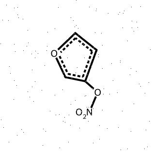 O=[N+]([O-])Oc1ccoc1